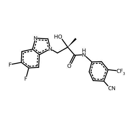 C[C@](O)(Cn1cnc2cc(F)c(F)cc21)C(=O)Nc1ccc(C#N)c(C(F)(F)F)c1